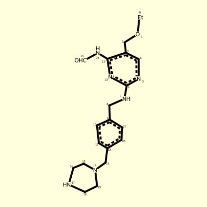 CCOCc1cnc(NCc2ccc(CN3CCNCC3)cc2)nc1NC=O